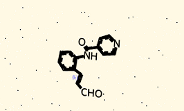 O=[C]/C=C/c1ccccc1NC(=O)c1ccncc1